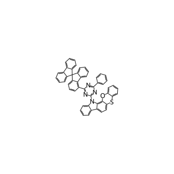 c1ccc(-c2nc(-c3cccc4c3-c3ccccc3C43c4ccccc4-c4ccccc43)nc(-n3c4ccccc4c4ccc5c(c43)Oc3ccccc3S5)n2)cc1